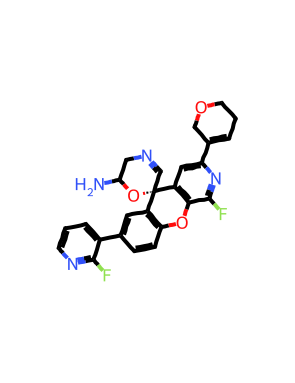 NC1CN=C[C@]2(O1)c1cc(-c3cccnc3F)ccc1Oc1c2cc(C2=CCCOC2)nc1F